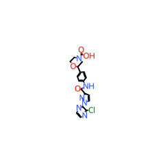 O=C(Nc1ccc(C2CN(C(=O)O)CCO2)cc1)c1ccn(-c2nccnc2Cl)n1